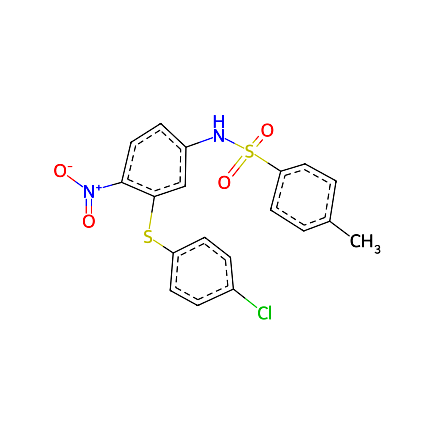 Cc1ccc(S(=O)(=O)Nc2ccc([N+](=O)[O-])c(Sc3ccc(Cl)cc3)c2)cc1